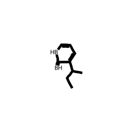 B=C1BC=CC=C1C(C)CC